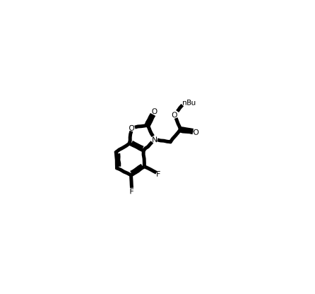 CCCCOC(=O)Cn1c(=O)oc2ccc(F)c(F)c21